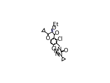 CCO/C=C(\C(=O)c1ccc(Cl)c(Cn2nnn(C3CC3)c2=O)c1Cl)C(=O)C1CC1